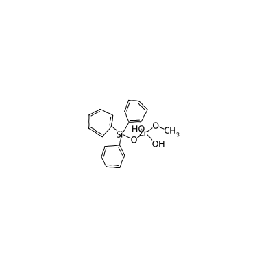 C[O][Zr]([OH])([OH])[O][Si](c1ccccc1)(c1ccccc1)c1ccccc1